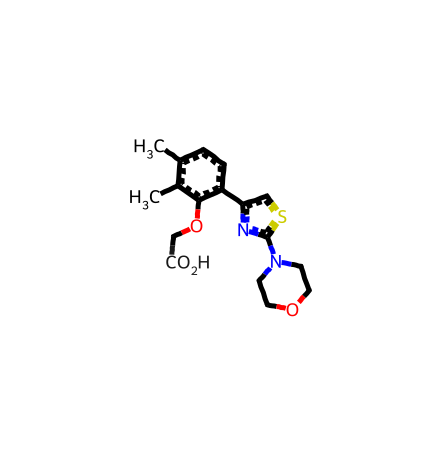 Cc1ccc(-c2csc(N3CCOCC3)n2)c(OCC(=O)O)c1C